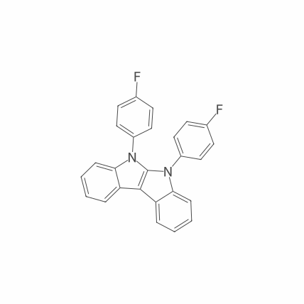 Fc1ccc(-n2c3ccccc3c3c4ccccc4n(-c4ccc(F)cc4)c32)cc1